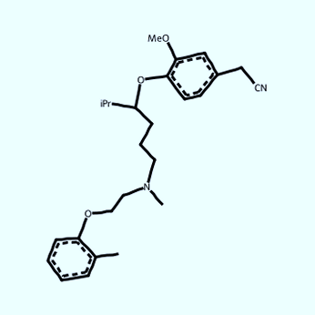 COc1cc(CC#N)ccc1OC(CCCN(C)CCOc1ccccc1C)C(C)C